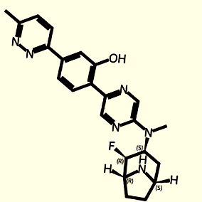 Cc1ccc(-c2ccc(-c3cnc(N(C)[C@H]4C[C@@H]5CC[C@@H](N5)[C@H]4F)cn3)c(O)c2)nn1